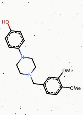 COc1ccc(CN2CCN(c3ccc(O)cc3)CC2)cc1OC